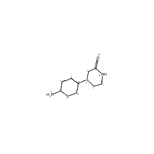 NC1CCC(N2CCNC(=O)C2)CC1